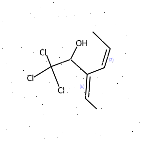 C/C=C\C(=C/C)C(O)C(Cl)(Cl)Cl